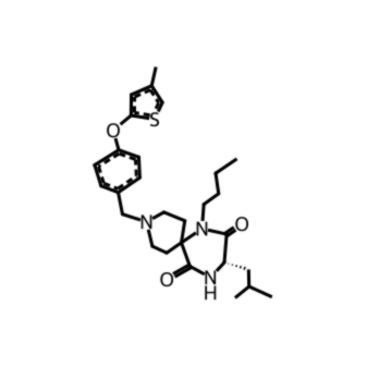 CCCCN1C(=O)[C@H](CC(C)C)NC(=O)C12CCN(Cc1ccc(Oc3cc(C)cs3)cc1)CC2